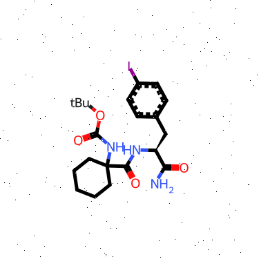 CC(C)(C)OC(=O)NC1(C(=O)N[C@@H](Cc2ccc(I)cc2)C(N)=O)CCCCC1